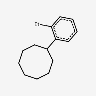 [CH2]Cc1ccccc1C1CCCCCCC1